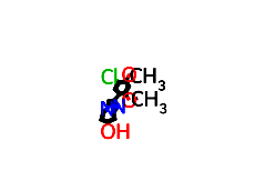 COc1cc(OC)c(-c2cn3ccc(O)cc3n2)cc1Cl